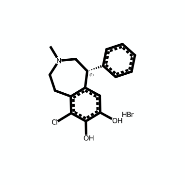 Br.CN1CCc2c(cc(O)c(O)c2Cl)[C@@H](c2ccccc2)C1